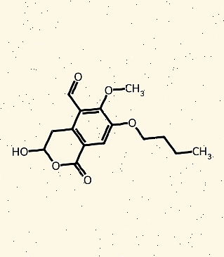 CCCCOc1cc2c(c(C=O)c1OC)CC(O)OC2=O